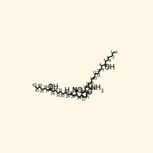 CCCCCCC(O)CCCCCCCCCC(Cc1cccc(CC(CCCCCCCCCC(O)CCCCCC)C(N)=O)c1)C(N)=O